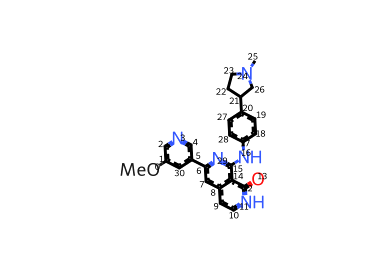 COc1cncc(-c2cc3cc[nH]c(=O)c3c(Nc3ccc(C4CCN(C)C4)cc3)n2)c1